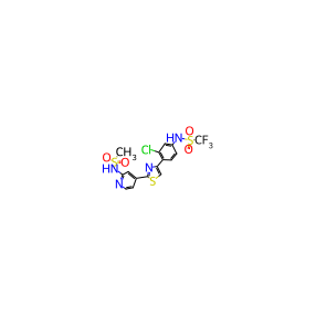 CS(=O)(=O)Nc1cc(-c2nc(-c3ccc(NS(=O)(=O)C(F)(F)F)cc3Cl)cs2)ccn1